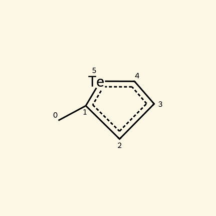 Cc1ccc[te]1